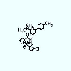 Cc1ccc(-c2cc(CNC(=O)[C@@H]3C=CCN3S(=O)(=O)c3ccc(Cl)s3)cc(N(C)C)n2)cc1